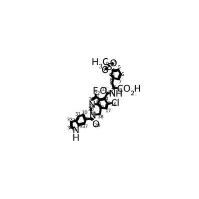 CS(=O)(=O)c1cccc(CC(NC(=O)c2c(Cl)cc3c4c2c(F)cn4CN(C(=O)c2ccc4cc[nH]c4c2)C3)C(=O)O)c1